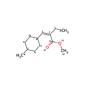 CCC(=CC1CCC(C)CC1)C(=O)OC